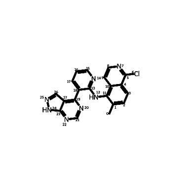 Cc1ccc2c(Cl)nccc2c1Nc1ncccc1-c1ncnc2[nH]ncc12